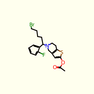 CC(=O)Oc1cc2c(s1)CCN(C(CCCCBr)c1ccccc1F)C2